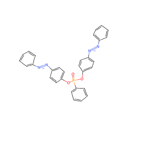 O=P(Oc1ccc(/N=N/c2ccccc2)cc1)(Oc1ccc(/N=N/c2ccccc2)cc1)c1ccccc1